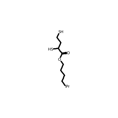 CC(C)CCCCOC(=O)C(S)CCS